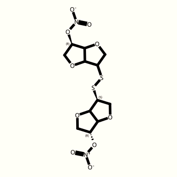 O=[N+]([O-])O[C@@H]1COC2C(SS[C@H]3COC4C3OC[C@H]4O[N+](=O)[O-])COC21